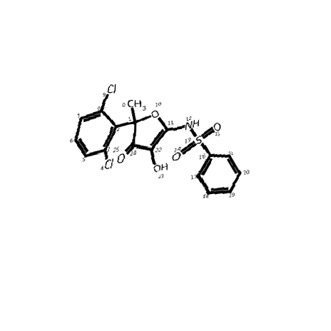 CC1(c2c(Cl)cccc2Cl)OC(NS(=O)(=O)c2ccccc2)=C(O)C1=O